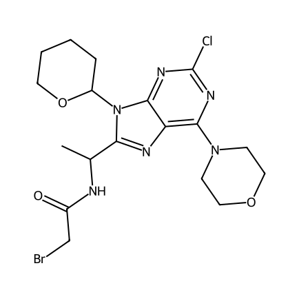 CC(NC(=O)CBr)c1nc2c(N3CCOCC3)nc(Cl)nc2n1C1CCCCO1